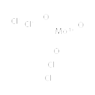 [Cl-].[Cl-].[Cl-].[Cl-].[O]=[Mo+4](=[O])=[O]